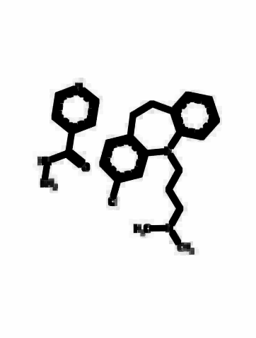 CN(C)CCCN1c2ccccc2CCc2ccc(Cl)cc21.NNC(=O)c1ccncc1